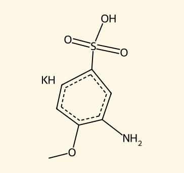 COc1ccc(S(=O)(=O)O)cc1N.[KH]